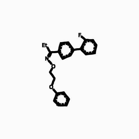 CCC(=NOCCOc1c[c]ccc1)c1ccc(-c2ccccc2F)cc1